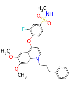 CNS(=O)(=O)c1ccc(OC2=C3C=C(OC)C(OC)=CC3N(CCCc3ccccc3)C=C2)c(F)c1